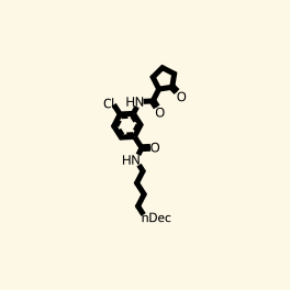 CCCCCCCCCCCCCCNC(=O)c1ccc(Cl)c(NC(=O)C2CCCC2=O)c1